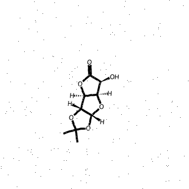 CC1(C)O[C@H]2O[C@H]3[C@H](OC(=O)[C@H]3O)[C@H]2O1